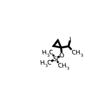 CC(I)C1(O[Si](C)(C)C)CC1